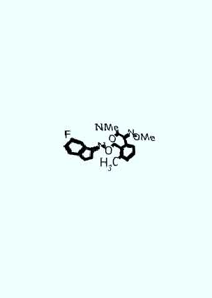 CNC(=O)/C(=N/OC)c1cccc(C)c1CO/N=C1\CCc2ccc(F)cc21